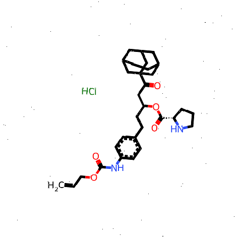 C=CCOC(=O)Nc1ccc(CCC(CC(=O)C23CC4CC(CC(C4)C2)C3)OC(=O)[C@@H]2CCCN2)cc1.Cl